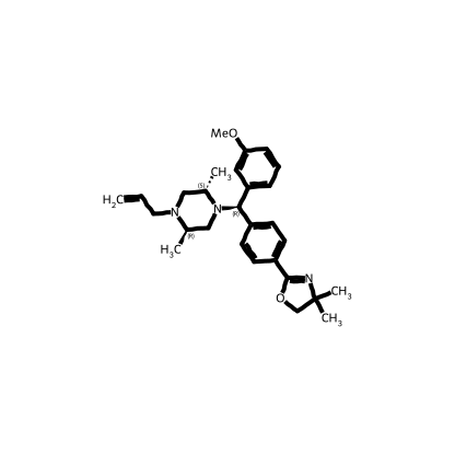 C=CCN1C[C@H](C)N([C@H](c2ccc(C3=NC(C)(C)CO3)cc2)c2cccc(OC)c2)C[C@H]1C